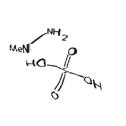 CNN.O=S(=O)(O)O